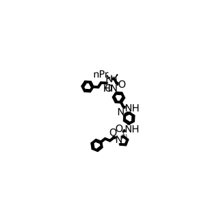 CCCN(C(=O)CCc1ccccc1)[C@@H](C)C(=O)Nc1ccc(-c2nc3cc(NC(=O)[C@@H]4CCCN4C(=O)CCc4ccccc4)ccc3[nH]2)cc1